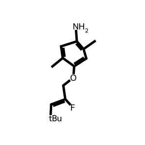 Cc1cc(OCC(F)=CC(C)(C)C)c(C)cc1N